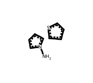 Nn1cccc1.c1ccsc1